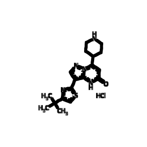 CC(C)(C)c1csc(-c2cnn3c(C4CCNCC4)cc(=O)[nH]c23)n1.Cl